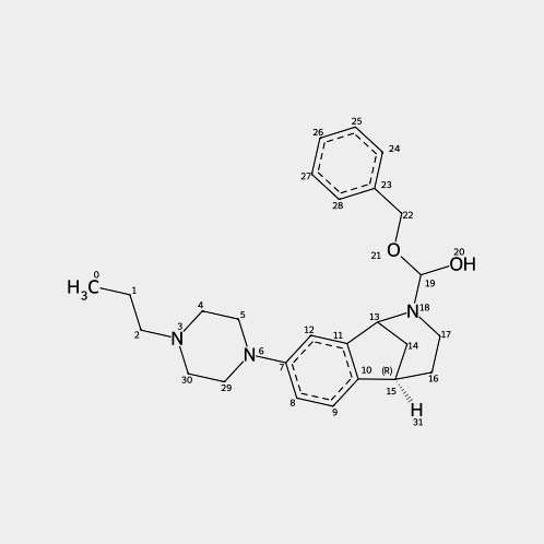 CCCN1CCN(c2ccc3c(c2)C2C[C@H]3CCN2C(O)OCc2ccccc2)CC1